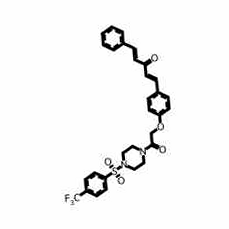 O=C(C=Cc1ccccc1)C=Cc1ccc(OCC(=O)N2CCN(S(=O)(=O)c3ccc(C(F)(F)F)cc3)CC2)cc1